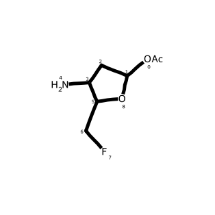 CC(=O)OC1CC(N)C(CF)O1